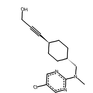 CN(C[C@H]1CC[C@H](C#CCO)CC1)c1ncc(Cl)cn1